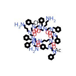 CC(=O)N(CC(=O)N(CC(=O)N(CCCCN)CC(=O)N(CC(=O)N(CC(=O)N(CCCCN)CC(=O)N(CC(=O)N(CC(=O)N(CCCCN)CC(=O)N(CC(=O)N(CC(N)=O)Cc1ccccc1)Cc1ccccc1)[C@@H](C)c1ccccc1)Cc1ccccc1)Cc1ccccc1)Cc1ccccc1)Cc1ccccc1)Cc1ccccc1